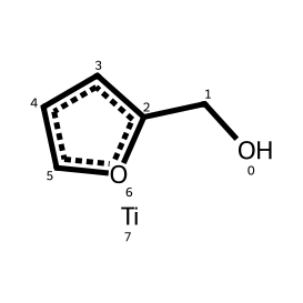 OCc1ccco1.[Ti]